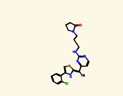 N#C/C(=C1\NC(c2ccccc2Cl)=CS1)c1ccnc(NCCCN2CCCC2=O)n1